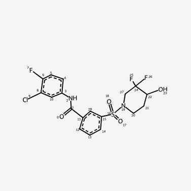 O=C(Nc1ccc(F)c(Cl)c1)c1cccc(S(=O)(=O)N2CCC(O)C(F)(F)C2)c1